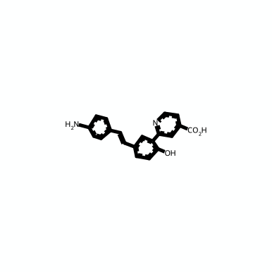 Nc1ccc(C=Cc2ccc(O)c(-c3cc(C(=O)O)ccn3)c2)cc1